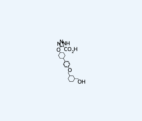 O=C(O)c1[nH]nnc1OC1CCC(c2ccc(OCC3CCCC(CO)C3)cc2)CC1